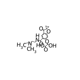 CCN(CC)CCNC(=O)c1ccc2c(c1)C(=O)C1(CC1)O2.O=C(O)C(=O)O